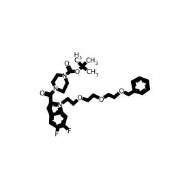 CC(C)(C)OC(=O)N1CCN(C(=O)c2cc3cc(F)c(F)cc3n2CCOCCOCCOCc2ccccc2)CC1